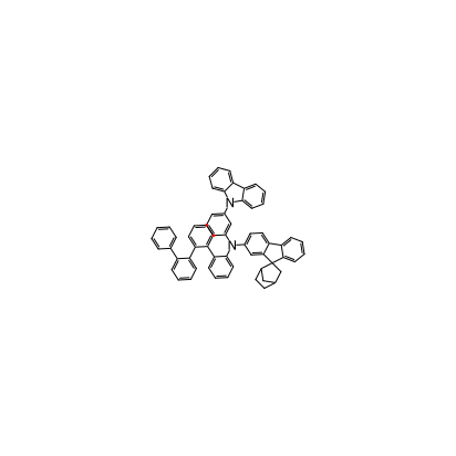 c1ccc(-c2ccccc2-c2ccccc2-c2ccccc2N(c2cccc(-n3c4ccccc4c4ccccc43)c2)c2ccc3c(c2)C2(CC4CCC2C4)c2ccccc2-3)cc1